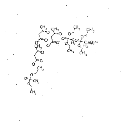 CC(=O)CC(=O)[O-].CC(=O)CC(=O)[O-].CC(=O)CC(=O)[O-].CCOC(C)([O-])OCC.CCOC(C)([O-])OCC.CCOC(C)([O-])OCC.[Al+3].[Al+3]